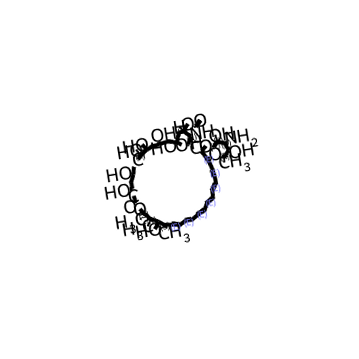 C[C@@H]1OC(=O)CC(O)CC(O)CC[C@@H](O)C(O)CC(O)CC2(O)C[C@@H]3OC(=O)N[C@H]3C(CC(O[C@@H]3O[C@H](C)C(O)[C@H](N)[C@@H]3O)/C=C/C=C/C=C/C=C/C=C/C=C/C=C/[C@H](C)C(O)[C@H]1C)O2